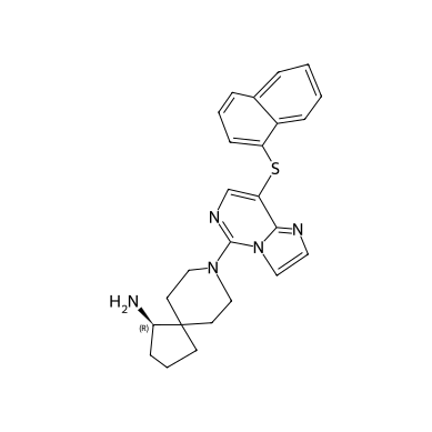 N[C@@H]1CCCC12CCN(c1ncc(Sc3cccc4ccccc34)c3nccn13)CC2